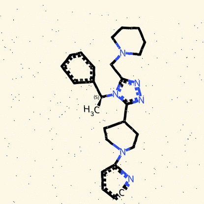 C[C@@H](c1ccccc1)n1c(CN2CCCCC2)nnc1C1CCN(c2ccccn2)CC1